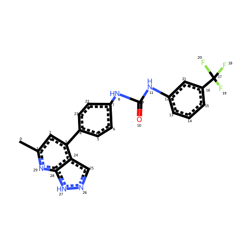 Cc1cc(-c2ccc(NC(=O)Nc3cccc(C(F)(F)F)c3)cc2)c2cn[nH]c2n1